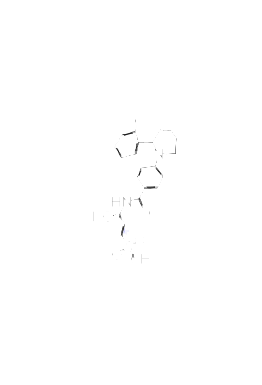 C[C@H](/C=C/S(C)(=O)=O)NC(=O)c1ccc(N2CCCCC2c2ccccc2Cl)cc1